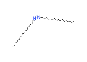 CCCCCCCCC=CCCCCCCCCN=C=NCCCCCCCCC=CCCCCCCCC